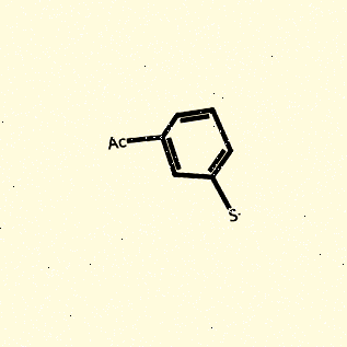 CC(=O)c1cccc([S])c1